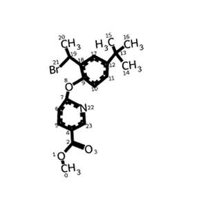 COC(=O)c1ccc(Oc2ccc(C(C)(C)C)cc2C(C)Br)nc1